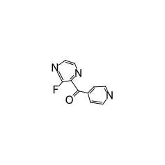 O=C(c1ccncc1)c1nccnc1F